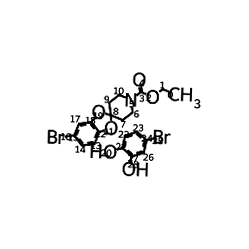 CCOC(=O)N1CCC2(CC1)Oc1ccc(Br)cc1O2.Oc1ccc(Br)cc1O